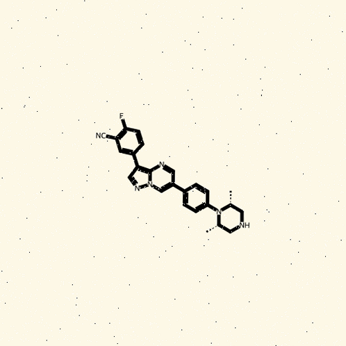 C[C@@H]1CNC[C@H](C)N1c1ccc(-c2cnc3c(-c4ccc(F)c(C#N)c4)cnn3c2)cc1